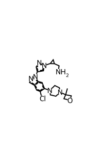 CC1(N2CCN(c3cc4c(cnn4-c4cnn(C5CC5CN)c4)cc3Cl)CC2)COC1